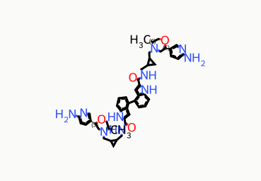 C[C@H]1CO[C@@H](c2ccc(N)nc2)CN1CC1CC1CNC(=O)c1cc2c(-c3cccc4[nH]c(C(=O)NCC5CC5CN5C[C@H](c6ccc(N)nc6)OC[C@@H]5C)cc34)cccc2[nH]1